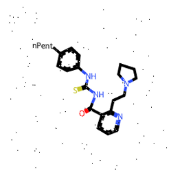 CCCCCc1ccc(NC(=S)NC(=O)c2cccnc2CCN2CCCC2)cc1